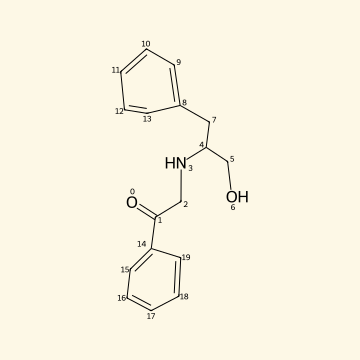 O=C(CNC(CO)Cc1ccccc1)c1ccccc1